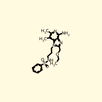 CCOCc1nc2c(N)nc(C)c(C)c2n1CCCNS(=O)(=O)c1ccccc1